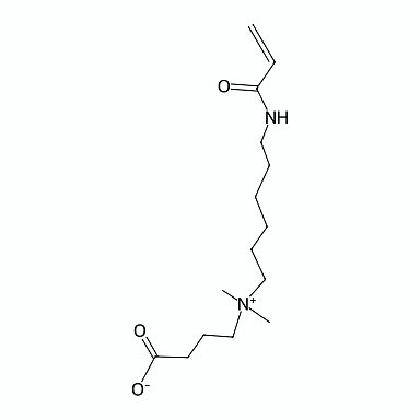 C=CC(=O)NCCCCCC[N+](C)(C)CCCC(=O)[O-]